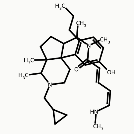 CCCc1ccc(O)cc1C12CCN(CC3CC3)C(C)C1(C)CCC2C(C)N(C)C(=O)/C=C/C=C\NC